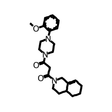 COc1ccccc1N1CCN(C(=O)CC(=O)N2CCC3CCCC=C3C2)CC1